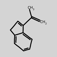 C=C(C)C1=CCc2ccccc21